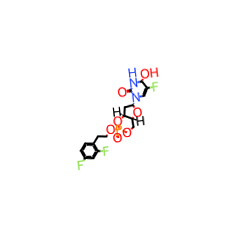 O=C1NC(O)C(F)=CN1[C@H]1C[C@@H]2OP(=O)(OCCc3ccc(F)cc3F)OC[C@H]2O1